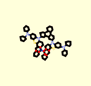 c1ccc(N(c2ccccc2)c2ccc3c(c2)Sc2cc(N(c4ccccc4)c4ccccc4)ccc2N3c2ccc3c4ccccc4c4ccc(N5c6ccc(N(c7ccccc7)c7ccccc7)cc6Sc6cc(N(c7ccccc7)c7ccccc7)ccc65)cc4c3c2)cc1